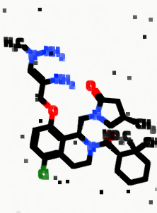 C[C@@H]1CC(=O)N(C[C@@H]2c3c(OC/C(N)=C/N(C)N)ccc(Cl)c3CCN2C(=O)[C@@H]2CCCC[C@]2(C)C(=O)O)C1